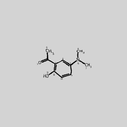 CC(=O)c1cc(N(C)C)ccc1O